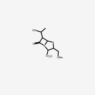 COCC1SC2C(C(C)O)C(=O)N2C1C(=O)O